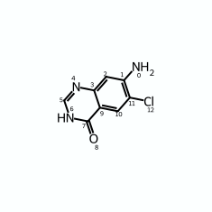 Nc1cc2nc[nH]c(=O)c2cc1Cl